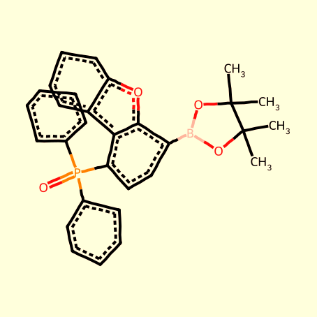 CC1(C)OB(c2ccc(P(=O)(c3ccccc3)c3ccccc3)c3c2oc2ccccc23)OC1(C)C